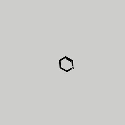 C1=C[N]CCC1